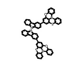 c1ccc2c(c1)Oc1cc(-c3ccc4c(c3)c3ccccc3n4-n3c4ccccc4c4cc(-c5cc6c7c(c5)Sc5ccccc5B7c5ccccc5O6)ccc43)cc3c1B2c1ccccc1S3